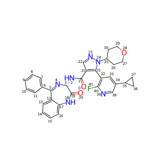 O=C(N[C@H]1N=C(c2ccccc2)c2ccccc2NC1=O)c1cnn(C2CCOCC2)c1-c1cc(C2CC2)cnc1F